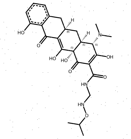 CC(C)ONCNC(=O)C1=C(O)[C@@H](N(C)C)[C@@H]2C[C@@H]3Cc4cccc(O)c4C(=O)C3=C(O)[C@]2(O)C1=O